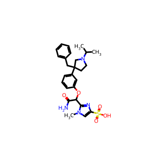 CC(C)N1CCC(Cc2ccccc2)(c2cccc(OC(C(N)=O)c3nc(S(=O)(=O)O)cn3C)c2)C1